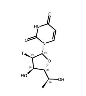 C[C@H](O)[C@H]1O[C@@H](n2ccc(=O)[nH]c2=O)[C@H](F)[C@@H]1O